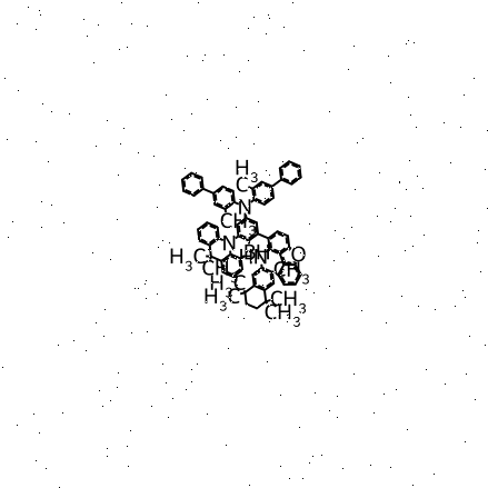 Cc1cc2c(cc1Nc1c(-c3cc(N(c4ccc(-c5ccccc5)cc4C)c4ccc(-c5ccccc5)cc4C)cc4c3Bc3cccc5c3N4c3ccccc3C5(C)C)ccc3oc4ccccc4c13)C(C)(C)CCC2(C)C